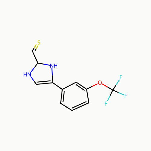 FC(F)(F)Oc1cccc(C2=CNC(C=S)N2)c1